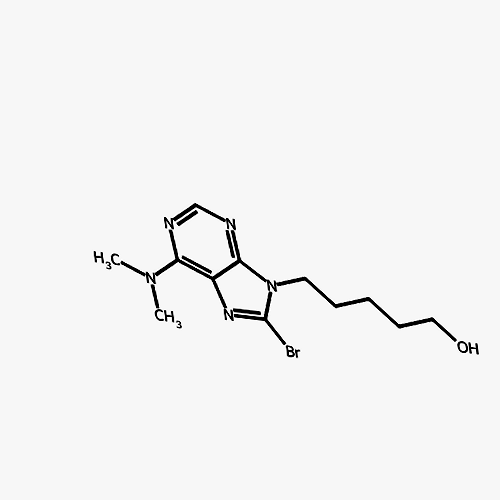 CN(C)c1ncnc2c1nc(Br)n2CCCCCO